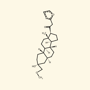 COC[C@@]1(O)CC[C@H]2[C@@H](CC[C@@H]3[C@@H]2CC[C@]2(C)[C@@H](C(=O)Cc4ncco4)CC[C@@H]32)C1